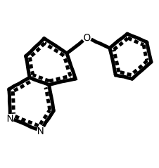 c1ccc(Oc2ccc3cnncc3c2)cc1